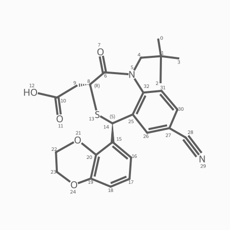 CC(C)(C)CN1C(=O)[C@@H](CC(=O)O)S[C@H](c2cccc3c2OCCO3)c2cc(C#N)ccc21